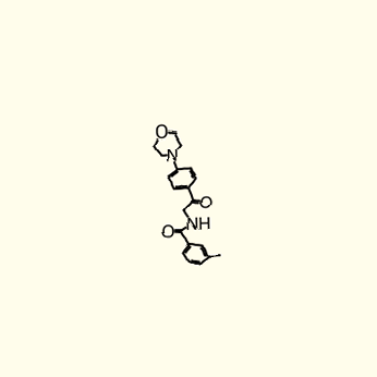 Cc1cccc(C(=O)NCC(=O)c2ccc(N3CCOCC3)cc2)c1